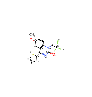 COc1ccc2c(c1)c(-c1cccs1)nc(=O)n2CC(F)(F)F